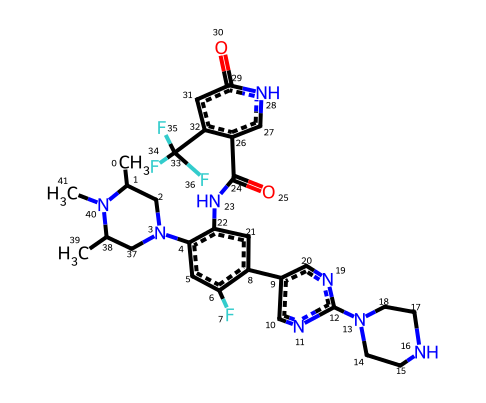 CC1CN(c2cc(F)c(-c3cnc(N4CCNCC4)nc3)cc2NC(=O)c2c[nH]c(=O)cc2C(F)(F)F)CC(C)N1C